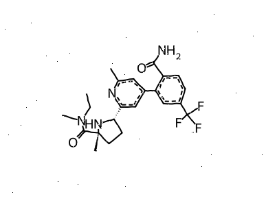 CCN(C)C(=O)[C@@]1(C)CC[C@@H](c2cc(-c3cc(C(F)(F)F)ccc3C(N)=O)cc(C)n2)N1